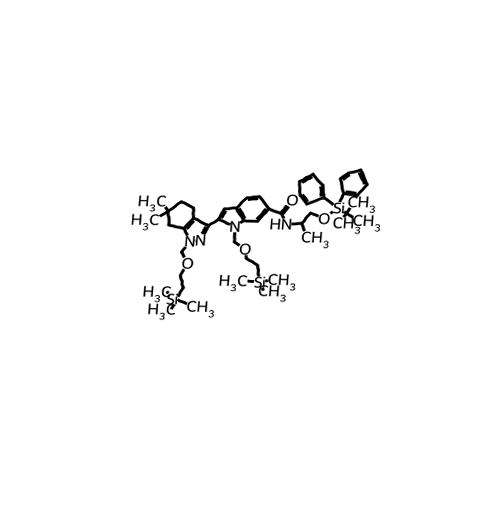 CC(CO[Si](c1ccccc1)(c1ccccc1)C(C)(C)C)NC(=O)c1ccc2cc(-c3nn(COCC[Si](C)(C)C)c4c3CCC(C)(C)C4)n(COCC[Si](C)(C)C)c2c1